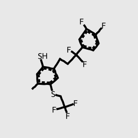 Cc1cc(S)c(CCC(F)(F)c2ccc(F)c(F)c2)cc1SCC(F)(F)F